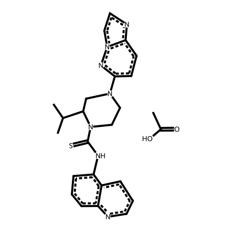 CC(=O)O.CC(C)C1CN(c2ccc3nccn3n2)CCN1C(=S)Nc1cccc2ncccc12